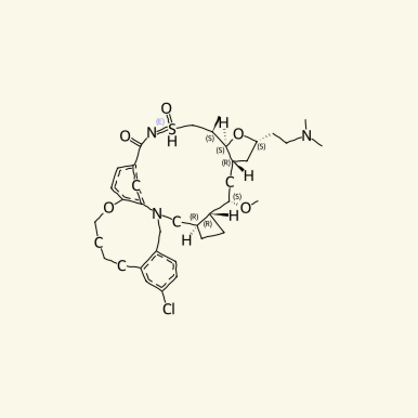 CO[C@H]1C[C@H]2C[C@@H](CCN(C)C)O[C@@H]2[C@H](C)C/[SH](=O)=N\C(=O)c2ccc3c(c2)N(Cc2ccc(Cl)cc2CCCCO3)C[C@@H]2CC[C@H]21